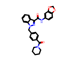 O=C(Nc1ccc2c(c1)OCO2)c1nn(Cc2ccc(C(=O)N3CCCCC3)cc2)c2ccccc12